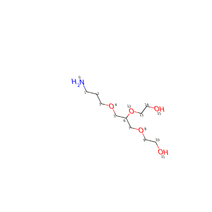 NCCCOCC(COCCO)OCCO